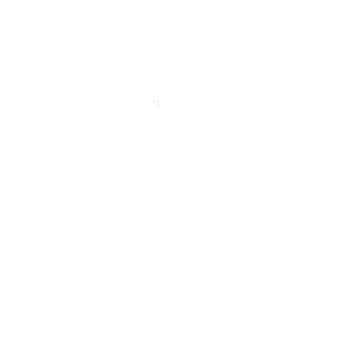 O=C(O)c1cnc(-c2ccc(F)cc2)cc1Oc1ccccc1Cl